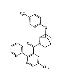 Cc1cnc(-c2ccccn2)c(C(=O)N2CC3CCC2C(Oc2ccc(C(F)(F)F)cn2)C3)c1